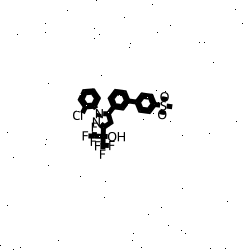 CS(=O)(=O)c1ccc(-c2cccc(C3CC(C(O)(C(F)(F)F)C(F)(F)F)=NN3c3ccccc3Cl)c2)cc1